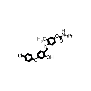 CCCNC(=O)Oc1ccc(/N=C/c2ccc(Oc3ccc(Cl)cc3)cc2O)c(C)c1